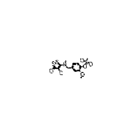 COc1cc(CN(C)c2ssc(=O)c2Cl)ccc1OS(C)(=O)=O